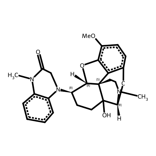 COc1ccc2c3c1O[C@H]1[C@H](N4CC(=O)N(C)c5ccccc54)CCC4(O)[C@@H](C2)N(C)CC[C@]314